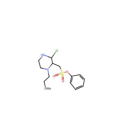 COCCN1CCNC(Cl)C1CS(=O)(=O)Oc1ccccc1